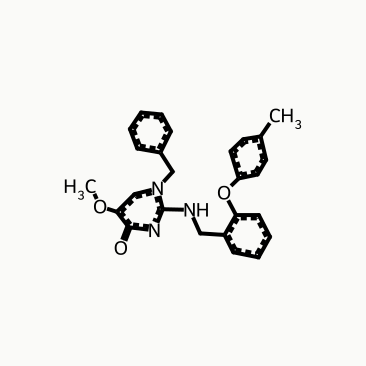 COc1cn(Cc2ccccc2)c(NCc2ccccc2Oc2ccc(C)cc2)nc1=O